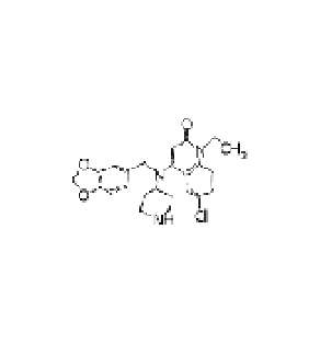 CCn1c(=O)cc(N(Cc2ccc3c(c2)OCO3)C2CCNCC2)c2cc(Cl)ccc21